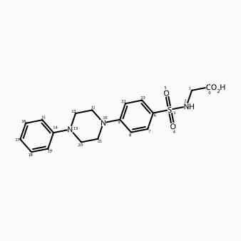 O=C(O)CNS(=O)(=O)c1ccc(N2CCN(c3ccccc3)CC2)cc1